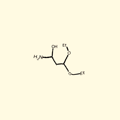 CCOC([CH]C(N)O)OCC